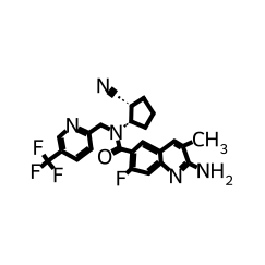 Cc1cc2cc(C(=O)N(Cc3ccc(C(F)(F)F)cn3)[C@H]3CCC[C@H]3C#N)c(F)cc2nc1N